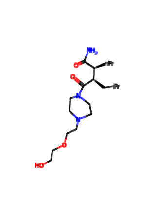 CCC[C@H](C(N)=O)[C@@H](CC(C)C)C(=O)N1CCN(CCOCCO)CC1